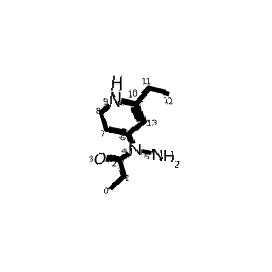 CCC(=O)N(N)C1=CCNC(CC)=C1